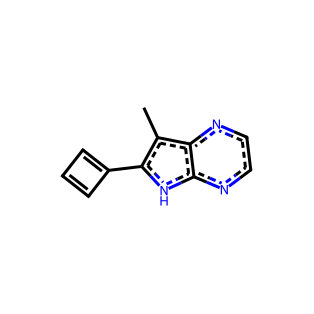 Cc1c(C2=CC=C2)[nH]c2nccnc12